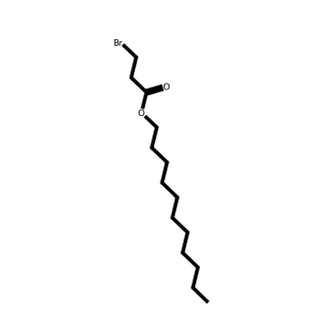 CCCCCCCCCCCOC(=O)CCBr